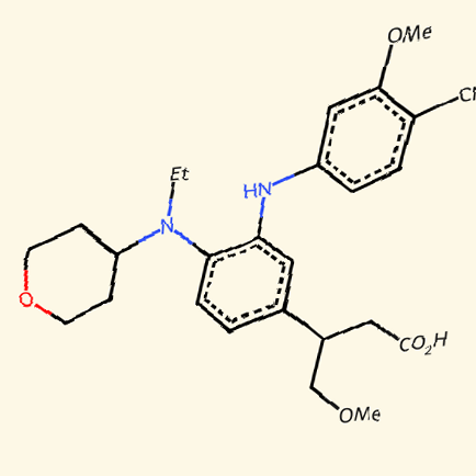 CCN(c1ccc(C(COC)CC(=O)O)cc1Nc1ccc(C#N)c(OC)c1)C1CCOCC1